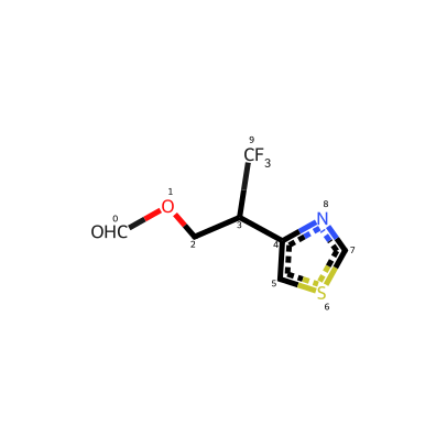 O=COCC(c1cscn1)C(F)(F)F